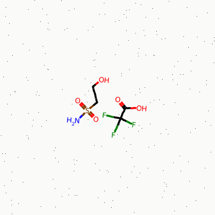 NS(=O)(=O)CCO.O=C(O)C(F)(F)F